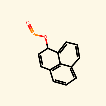 O=POC1C=Cc2cccc3cccc1c23